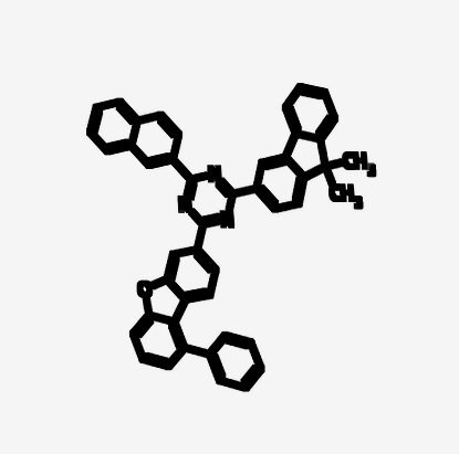 CC1(C)c2ccccc2-c2cc(-c3nc(-c4ccc5ccccc5c4)nc(-c4ccc5c(c4)oc4cccc(-c6ccccc6)c45)n3)ccc21